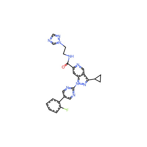 O=C(NCCn1cncn1)c1cc2c(cn1)c(C1CC1)nn2-c1ncc(-c2ccccc2F)cn1